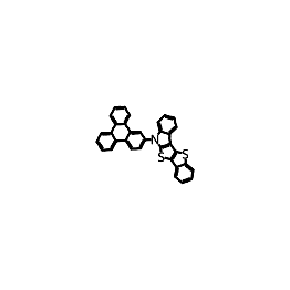 c1ccc2c(c1)sc1c2sc2c1c1ccccc1n2-c1ccc2c3ccccc3c3ccccc3c2c1